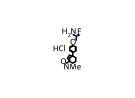 CNC(=O)C12CCCC(c3ccc(OC/C(=C/F)CN)cc3)(CC1)C2.Cl